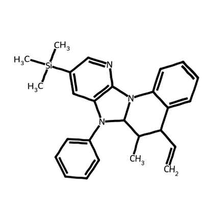 C=CC1c2ccccc2N2c3ncc([Si](C)(C)C)cc3N(c3ccccc3)C2C1C